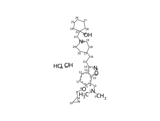 CN(C)Cc1c(OCC2CC2)ccc2c(CCC3CCN(CC4(O)CCCCC4)CC3)noc12.Cl.Cl